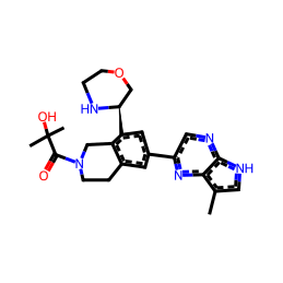 Cc1c[nH]c2ncc(-c3cc4c(c([C@@H]5COCCN5)c3)CN(C(=O)C(C)(C)O)CC4)nc12